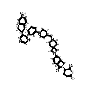 O=C1CCC(N2Cc3cc(N4CC5(CCN(CC6CCN(c7ccc([C@H]8c9ccc(O)cc9OC[C@H]8c8cncnc8)cc7)CC6)CC5)C4)ccc3C2=O)C(=O)N1